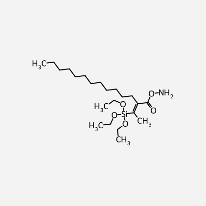 CCCCCCCCCCCCC(C(=O)ON)=C(C)[Si](OCC)(OCC)OCC